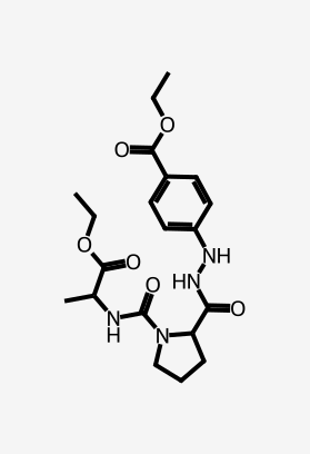 CCOC(=O)c1ccc(NNC(=O)C2CCCN2C(=O)NC(C)C(=O)OCC)cc1